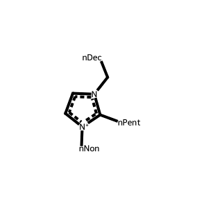 CCCCCCCCCCCn1cc[n+](CCCCCCCCC)c1CCCCC